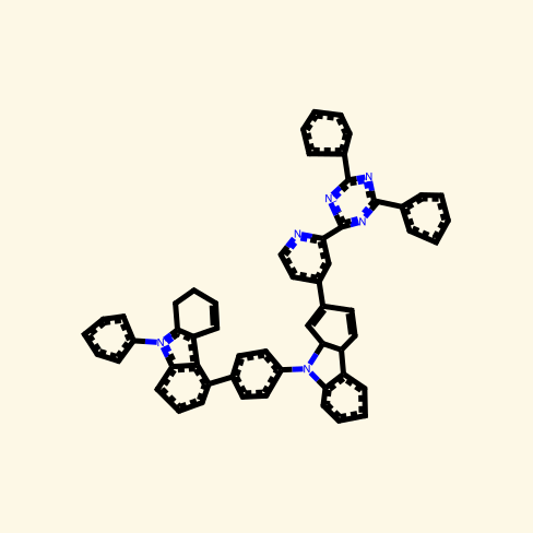 C1=Cc2c(n(-c3ccccc3)c3cccc(-c4ccc(N5c6ccccc6C6C=CC(c7ccnc(-c8nc(-c9ccccc9)nc(-c9ccccc9)n8)c7)=CC65)cc4)c23)CC1